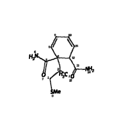 CSCC(C)C1(C(N)=O)C=CC=CC1C(N)=O